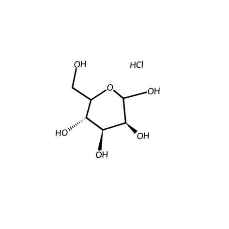 Cl.OCC1OC(O)[C@@H](O)[C@@H](O)[C@@H]1O